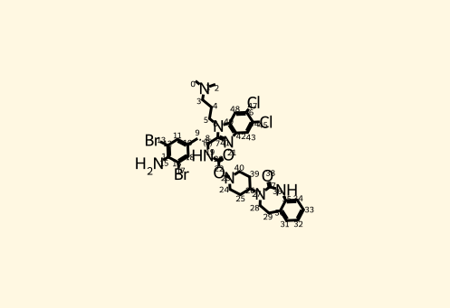 CN(C)CCCn1c([C@@H](Cc2cc(Br)c(N)c(Br)c2)NC(=O)ON2CCC(N3CCc4ccccc4NC3=O)CC2)nc2cc(Cl)c(Cl)cc21